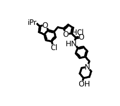 CC(C)c1cc2cc(Cl)cc(Cc3ccc(C(=O)Nc4ccc(CN5CCC(O)CC5)cc4)o3)c2o1.Cl